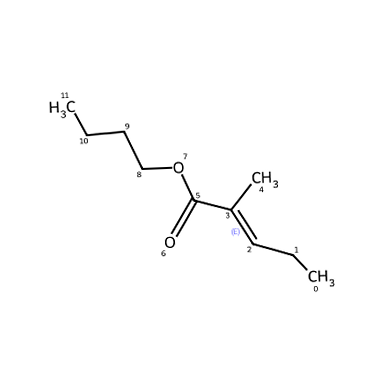 CC/C=C(\C)C(=O)OCCCC